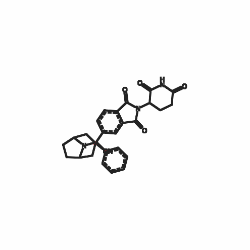 O=C1CCC(N2C(=O)c3ccc(C4(O)CC5CCC(C4)N5Cc4ccccc4)cc3C2=O)C(=O)N1